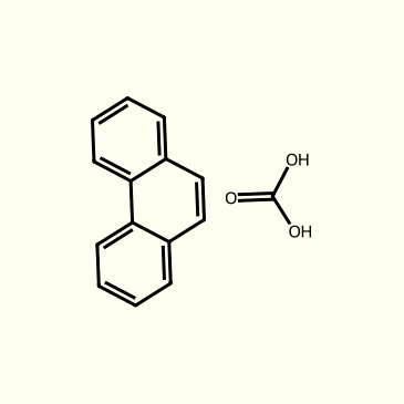 O=C(O)O.c1ccc2c(c1)ccc1ccccc12